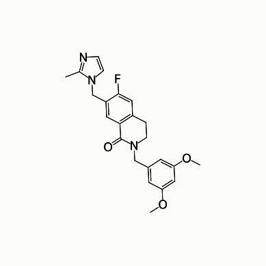 COc1cc(CN2CCc3cc(F)c(Cn4ccnc4C)cc3C2=O)cc(OC)c1